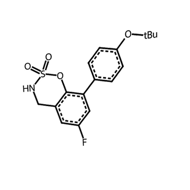 CC(C)(C)Oc1ccc(-c2cc(F)cc3c2OS(=O)(=O)NC3)cc1